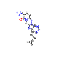 Nc1cccn(Cc2nc3c(/C=C/C4CC4)ncnc3[nH]2)c1=O